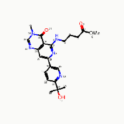 COC(=O)CCCNc1nc(-c2ccc(C(C)(C)O)nc2)cc2ncn(C)c(=O)c12